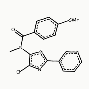 CSc1ccc(C(=O)N(C)c2sc(-c3cccnc3)nc2Cl)cc1